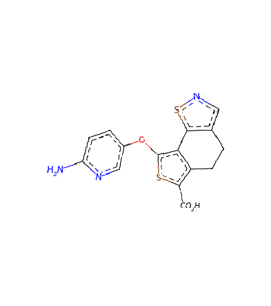 Nc1ccc(Oc2sc(C(=O)O)c3c2-c2sncc2CC3)cn1